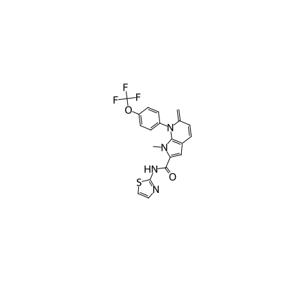 C=C1C=Cc2cc(C(=O)Nc3nccs3)n(C)c2N1c1ccc(OC(F)(F)F)cc1